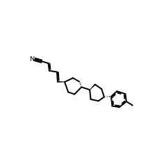 Cc1ccc([C@H]2CC[C@H]([C@H]3CC[C@H](C=CC=CC#N)CC3)CC2)cc1